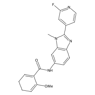 COC1=CCCC=C1C(=O)Nc1ccc2nc(-c3ccnc(F)c3)n(C)c2c1